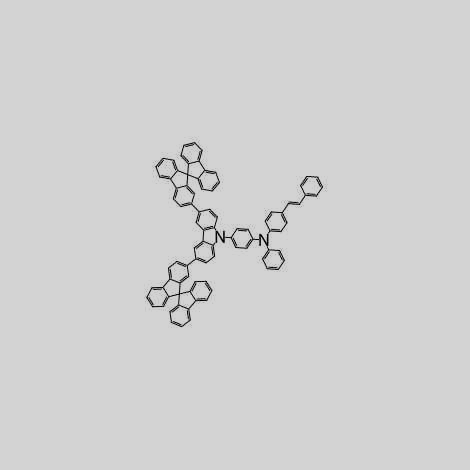 C(=C\c1ccc(N(c2ccccc2)c2ccc(-n3c4ccc(-c5ccc6c(c5)C5(c7ccccc7-c7ccccc75)c5ccccc5-6)cc4c4cc(-c5ccc6c(c5)C5(c7ccccc7-c7ccccc75)c5ccccc5-6)ccc43)cc2)cc1)/c1ccccc1